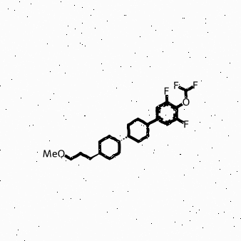 COCCC[C@H]1CC[C@H](C2CCC(c3cc(F)c(OC(F)F)c(F)c3)CC2)CC1